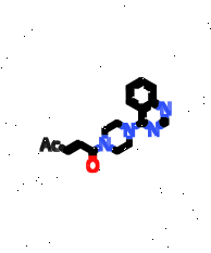 CC(=O)C=CC(=O)N1CCN(c2ncnc3ccccc23)CC1